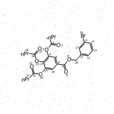 CCCC(=O)Oc1cc(C(=O)OCc2cccc(Br)c2)cc(OC(=O)CCC)c1OC(=O)CCC